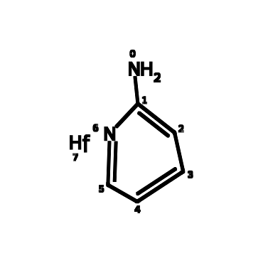 Nc1ccccn1.[Hf]